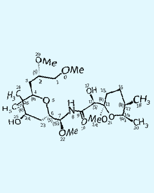 COC[C@H](C[C@H]1O[C@H]([C@@H](NC(=O)[C@@H](O)[C@@]2(OC)CC[C@@H](C)[C@@H](C)O2)OC)C[C@@H](O)C1(C)C)OC